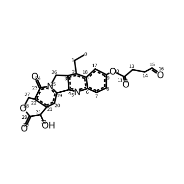 CCc1c2c(nc3ccc(OC(=O)CCC=O)cc13)-c1cc3c(c(=O)n1C2)COC(=O)C3O